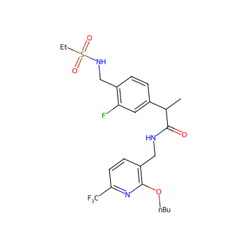 CCCCOc1nc(C(F)(F)F)ccc1CNC(=O)C(C)c1ccc(CNS(=O)(=O)CC)c(F)c1